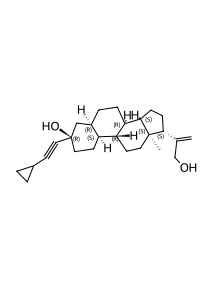 C=C(CO)[C@H]1CC[C@H]2[C@@H]3CC[C@@H]4C[C@@](O)(C#CC5CC5)CC[C@@H]4[C@H]3CC[C@]12C